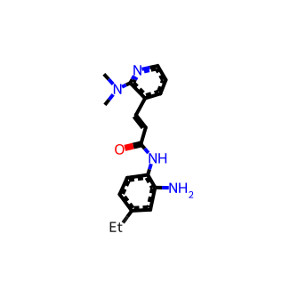 CCc1ccc(NC(=O)/C=C/c2cccnc2N(C)C)c(N)c1